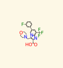 O=C(O)c1nc2c(C(F)(F)F)cc(-c3cccc(F)c3)cn2c1CN1CCOCC1